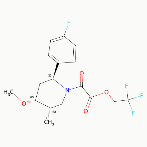 CO[C@@H]1C[C@@H](c2ccc(F)cc2)N(C(=O)C(=O)OCC(F)(F)F)C[C@@H]1C